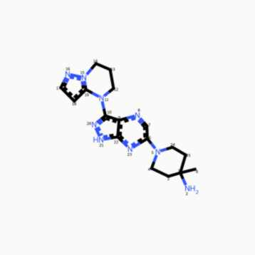 CC1(N)CCN(c2cnc3c(N4CCCn5nccc54)n[nH]c3n2)CC1